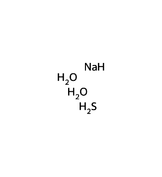 O.O.S.[NaH]